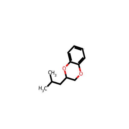 CC(C)CC1COc2c[c]ccc2O1